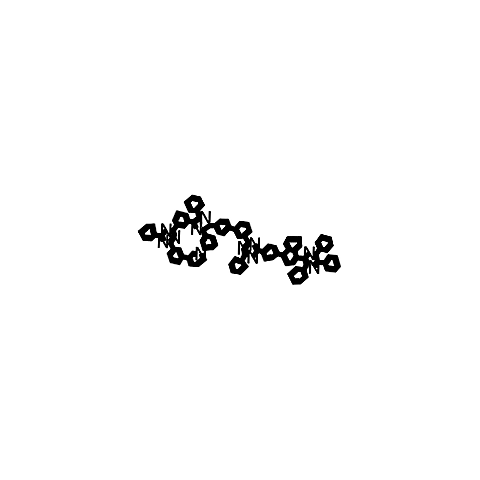 c1ccc(-c2nc(-c3ccc(-c4ccc(-c5nc(-c6ccccc6)c(-c6ccccc6)nc5-c5ccccc5)c5ccccc45)cc3)nc(-c3cccc(-c4ccc(-c5nc(-c6ccccc6)c(-c6cccc(-c7nc(-c8ccccc8)nc(-c8cccc(-c9cccnc9)c8)n7)c6)nc5-c5ccccc5)cc4)c3)n2)cc1